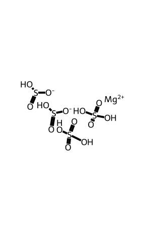 O=S(=O)(O)O.O=S(=O)(O)O.O=S([O-])O.O=S([O-])O.[Mg+2]